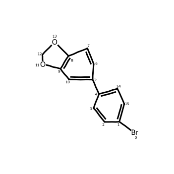 Brc1ccc(-c2ccc3c(c2)OCO3)cc1